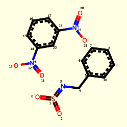 O=S(=O)=NCc1ccccc1.O=[N+]([O-])c1cccc([N+](=O)[O-])c1